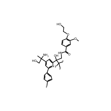 COc1cc(C(=O)NCC(O)(c2cc(C(C)(N)CO)cc(-c3ccc(F)cc3)n2)C(F)(F)F)ccc1OCCO